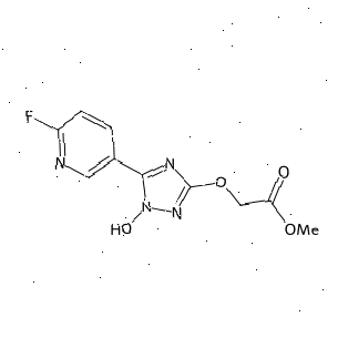 COC(=O)COc1nc(-c2ccc(F)nc2)n(O)n1